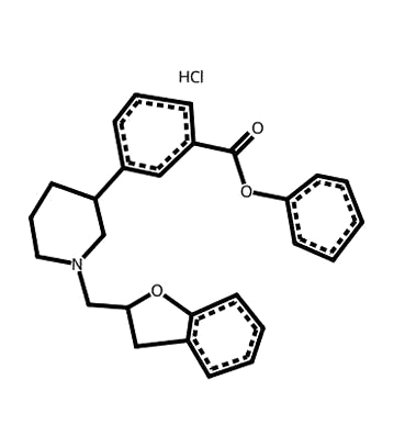 Cl.O=C(Oc1ccccc1)c1cccc(C2CCCN(CC3Cc4ccccc4O3)C2)c1